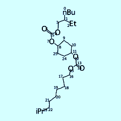 CCCCC(CC)COC(=O)OC1CCC(OC(=O)OCCCCCCCC(C)C)CC1